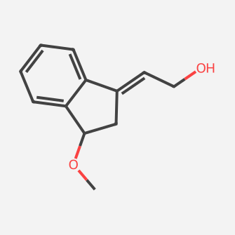 COC1C/C(=C\CO)c2ccccc21